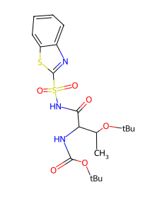 CC(OC(C)(C)C)C(NC(=O)OC(C)(C)C)C(=O)NS(=O)(=O)c1nc2ccccc2s1